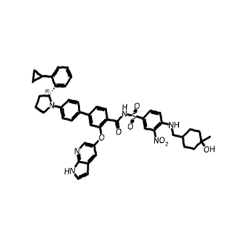 CC1(O)CCC(CNc2ccc(S(=O)(=O)NC(=O)c3ccc(-c4ccc(N5CCC[C@@H]5c5ccccc5C5CC5)cc4)cc3Oc3cnc4[nH]ccc4c3)cc2[N+](=O)[O-])CC1